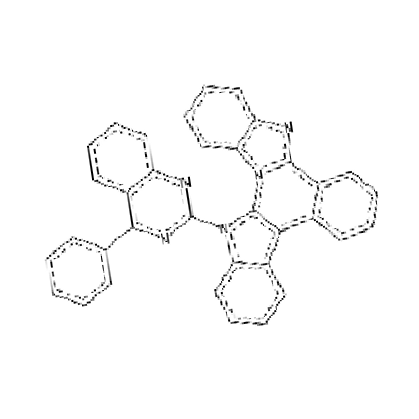 c1ccc(-c2nc(-n3c4ccccc4c4c5ccccc5c5nc6ccccc6n5c43)nc3ccccc23)cc1